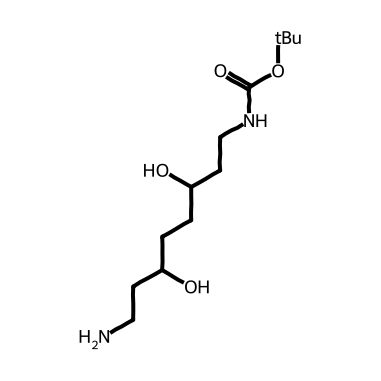 CC(C)(C)OC(=O)NCCC(O)CCC(O)CCN